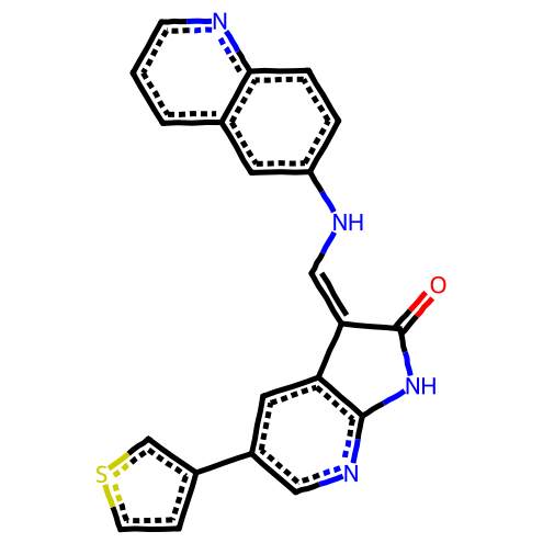 O=C1Nc2ncc(-c3ccsc3)cc2/C1=C/Nc1ccc2ncccc2c1